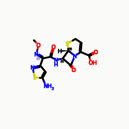 CO/N=C(\C(=O)N[C@@H]1C(=O)N2C(C(=O)O)=CCS[C@H]12)c1cc(N)sn1